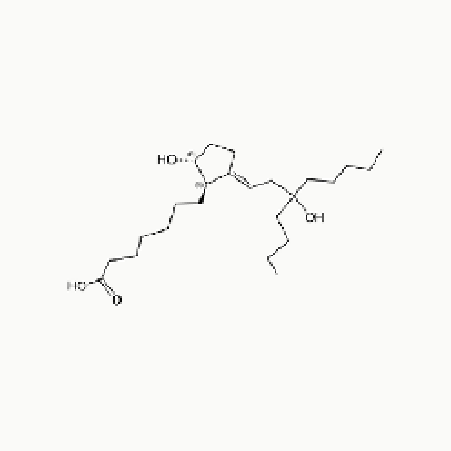 CCCCCC(O)(CC=C1CC[C@@H](O)[C@@H]1CCCCCCC(=O)O)CCCC